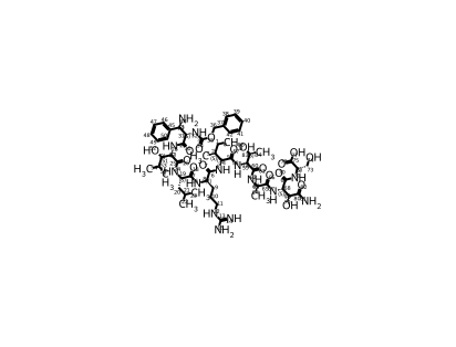 CC[C@H](C)[C@H](NC(=O)[C@@H](CCCNC(=N)N)NC(=O)[C@H](CC(C)C)NC(=O)[C@@H](NC(=O)[C@@H](NC(=O)OCc1ccccc1)[C@H](N)c1ccccc1)[C@H](O)C(C)C)C(=O)N[C@H](C(=O)N[C@H](C)C(=O)N[C@H](C(=O)N[C@@H](CO)C(=O)O)[C@H](O)C(N)=O)[C@H](C)O